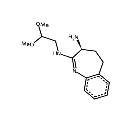 COC(CNC1=Nc2ccccc2CC[C@@H]1N)OC